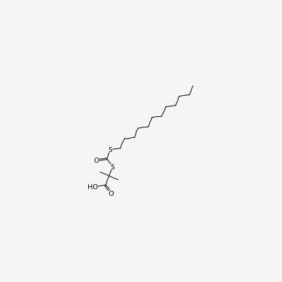 CCCCCCCCCCCCSC(=O)SC(C)(C)C(=O)O